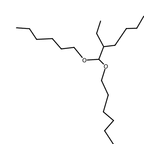 CCCCCCOC(OCCCCCC)C(CC)CCCC